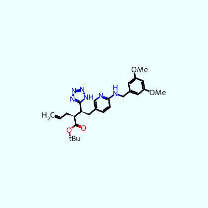 C=CC[C@H](C(=O)OC(C)(C)C)[C@H](Cc1ccc(NCc2cc(OC)cc(OC)c2)nc1)c1nnn[nH]1